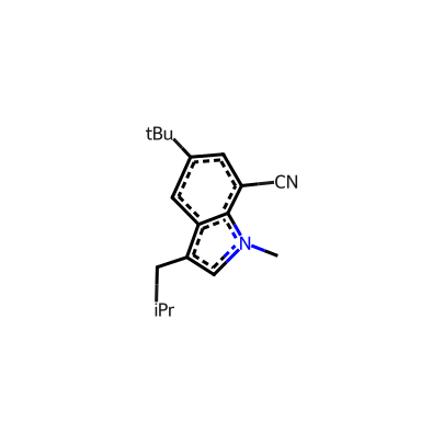 CC(C)Cc1cn(C)c2c(C#N)cc(C(C)(C)C)cc12